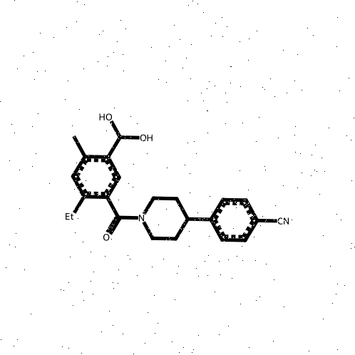 CCc1cc(C)c(C(O)O)cc1C(=O)N1CCC(c2ccc(C#N)cc2)CC1